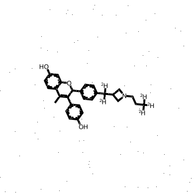 [2H]C([2H])([2H])CCN1CC(C([2H])([2H])c2ccc(C3Oc4cc(O)ccc4C(C)=C3c3ccc(O)cc3)cc2)C1